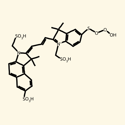 CC1(C)C(C=CC=C2N(CS(=O)(=O)O)c3ccc4cc(S(=O)(=O)O)ccc4c3C2(C)C)=[N+](CS(=O)(=O)O)c2ccc(SOOO)cc21